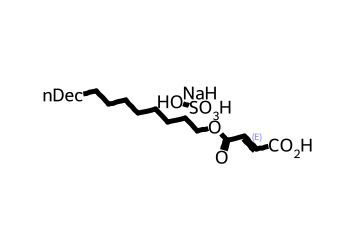 CCCCCCCCCCCCCCCCCCOC(=O)/C=C/C(=O)O.O=S(=O)(O)O.[NaH]